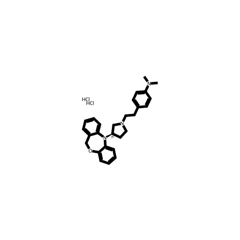 CN(C)c1ccc(CCN2CC[C@@H](N3c4ccccc4COc4ccccc43)C2)cc1.Cl.Cl